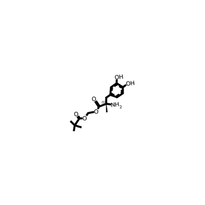 CC(C)(C)C(=O)OCOC(=O)[C@@](C)(N)Cc1ccc(O)c(O)c1